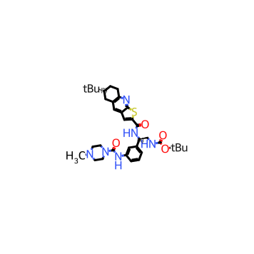 CN1CCN(C(=O)Nc2cccc([C@H](CNC(=O)OC(C)(C)C)NC(=O)c3cc4cc5c(nc4s3)CC[C@@H](C(C)(C)C)C5)c2)CC1